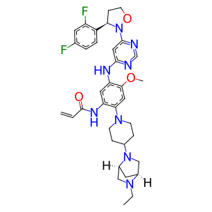 C=CC(=O)Nc1cc(Nc2cc(N3OCC[C@@H]3c3ccc(F)cc3F)ncn2)c(OC)cc1N1CCC(N2C[C@@H]3C[C@H]2CN3CC)CC1